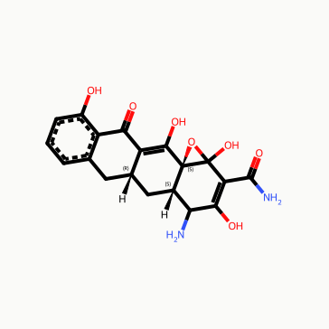 NC(=O)C1=C(O)C(N)[C@@H]2C[C@@H]3Cc4cccc(O)c4C(=O)C3=C(O)[C@@]23OC13O